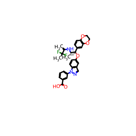 C=C(N[C@@H](C)[C@H](Oc1ccc2c(cnn2-c2cccc(C(=O)O)c2)c1)c1ccc2c(c1)OCCO2)C(C)(F)F